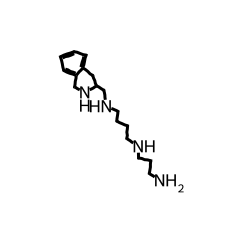 NCCCNCCCCNCC1Cc2ccccc2CN1